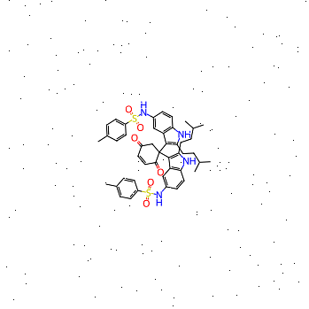 Cc1ccc(S(=O)(=O)Nc2ccc3[nH]c(CCC(C)C)c(C4(c5c(CCC(C)C)[nH]c6ccc(NS(=O)(=O)c7ccc(C)cc7)cc56)CC(=O)C=CC4=O)c3c2)cc1